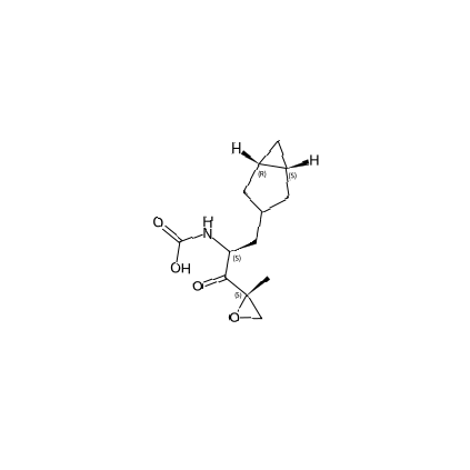 C[C@@]1(C(=O)[C@H](CC2C[C@@H]3C[C@@H]3C2)NC(=O)O)CO1